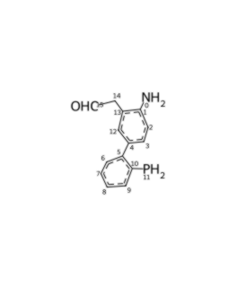 Nc1ccc(-c2ccccc2P)cc1CC=O